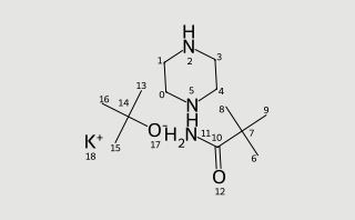 C1CNCCN1.CC(C)(C)C(N)=O.CC(C)(C)[O-].[K+]